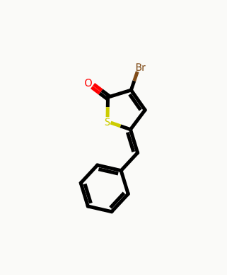 O=C1S/C(=C\c2ccccc2)C=C1Br